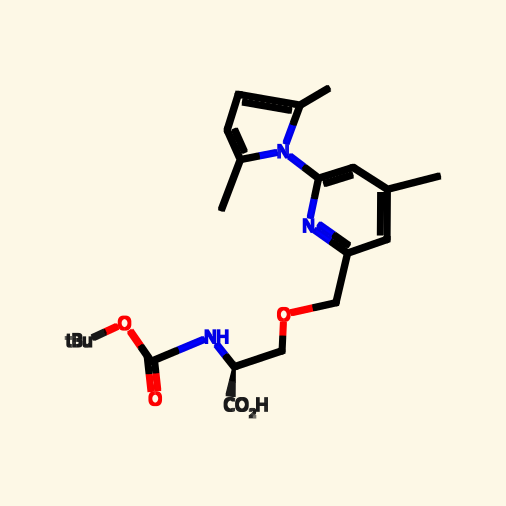 Cc1cc(COC[C@H](NC(=O)OC(C)(C)C)C(=O)O)nc(-n2c(C)ccc2C)c1